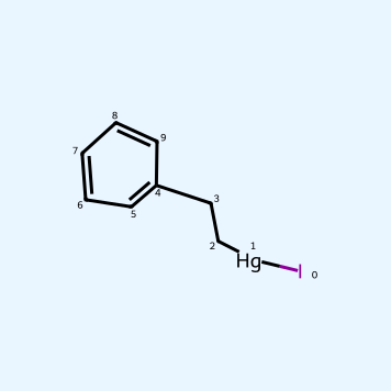 [I][Hg][CH2]Cc1ccccc1